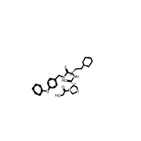 O=C(N[C@H](CCC1CCCCC1)C(=S)NCc1ccc(Oc2ccccc2)cc1)[C@@H]1CSCN1C(=O)CO